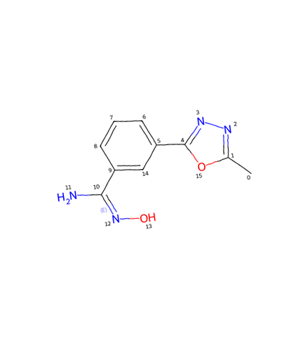 Cc1nnc(-c2cccc(/C(N)=N\O)c2)o1